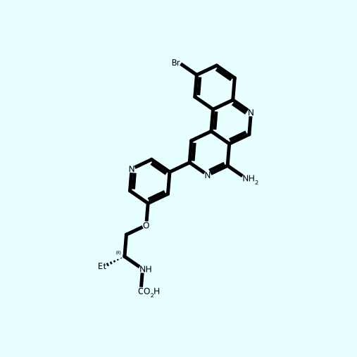 CC[C@H](COc1cncc(-c2cc3c(cnc4ccc(Br)cc43)c(N)n2)c1)NC(=O)O